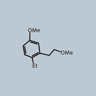 CCc1ccc(OC)cc1CCOC